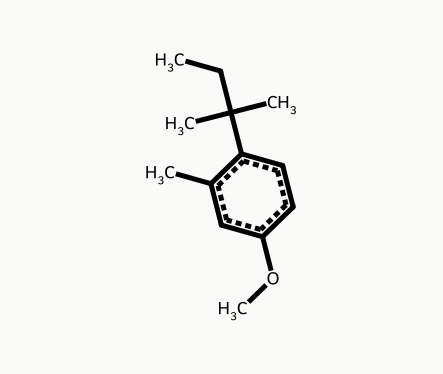 CCC(C)(C)c1ccc(OC)cc1C